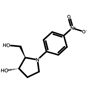 O=[N+]([O-])c1ccc(N2CC[C@H](O)[C@H]2CO)cc1